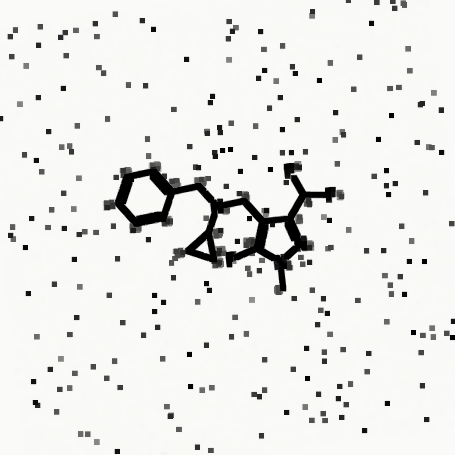 Cn1nc(C(F)F)c(CN(Cc2ccccc2)C2CC2)c1F